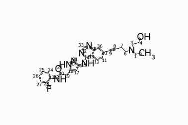 CCN(CCO)CCC#Cc1ccc2c(Nc3cc(CC(=O)Nc4ccccc4F)[nH]n3)ncnc2c1